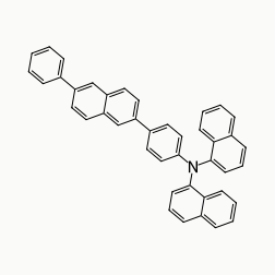 c1ccc(-c2ccc3cc(-c4ccc(N(c5cccc6ccccc56)c5cccc6ccccc56)cc4)ccc3c2)cc1